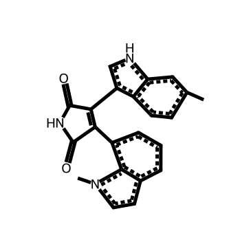 Cc1ccc2c(C3=C(c4cccc5ccn(C)c45)C(=O)NC3=O)c[nH]c2c1